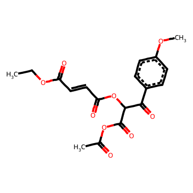 CCOC(=O)C=CC(=O)OC(C(=O)OC(C)=O)C(=O)c1ccc(OC)cc1